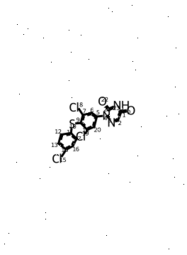 O=c1cnn(-c2cc(Cl)c(Sc3ccc(Cl)cc3)c(Cl)c2)c(=O)[nH]1